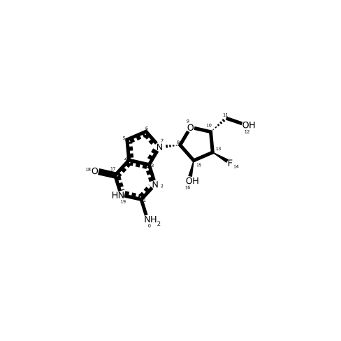 Nc1nc2c(ccn2[C@@H]2O[C@H](CO)[C@@H](F)[C@H]2O)c(=O)[nH]1